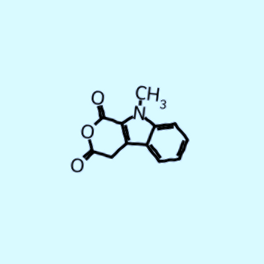 Cn1c2c(c3ccccc31)CC(=O)OC2=O